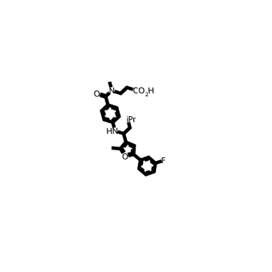 Cc1oc(-c2cccc(F)c2)cc1C(CC(C)C)Nc1ccc(C(=O)N(C)CCC(=O)O)cc1